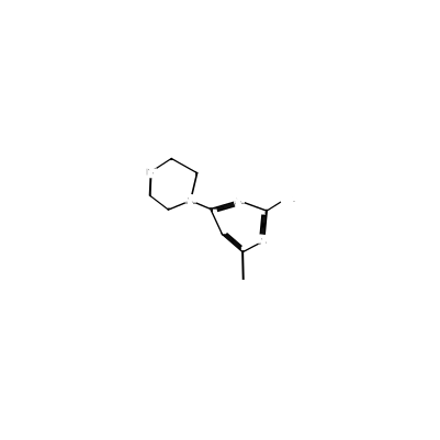 Cc1cc(N2CCNCC2)nc(C(C)(C)C)n1